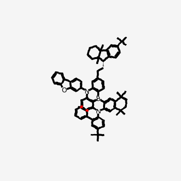 Cc1cc2c3c(c1)N(c1ccc(C(C)(C)C)cc1-c1ccccc1)c1cc4c(cc1B3c1ccc(CC[C@H]3c5ccc(C(C)(C)C)cc5C5(C)CCCCC35C)cc1N2c1ccc2c(c1)oc1ccccc12)C(C)(C)CCC4(C)C